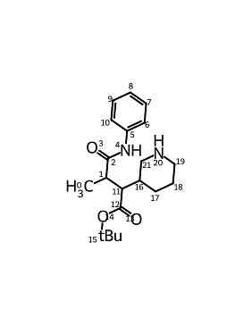 CC(C(=O)Nc1ccccc1)C(C(=O)OC(C)(C)C)C1CCCNC1